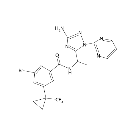 CC(NC(=O)c1cc(Br)cc(C2(C(F)(F)F)CC2)c1)c1nc(N)nn1-c1ncccn1